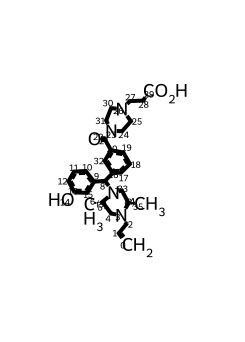 C=CCN1C[C@H](C)N(C(c2cccc(O)c2)c2cccc(C(=O)N3CCN(CCC(=O)O)CC3)c2)C[C@H]1C